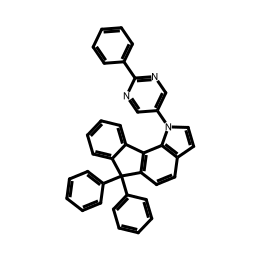 c1ccc(-c2ncc(-n3ccc4ccc5c(c43)-c3ccccc3C5(c3ccccc3)c3ccccc3)cn2)cc1